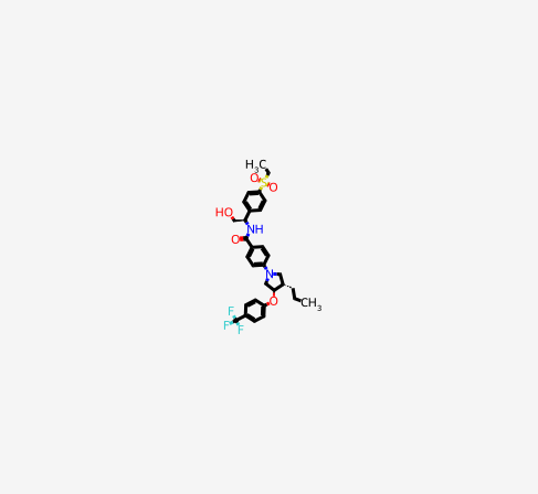 CCC[C@H]1CN(c2ccc(C(=O)N[C@@H](CO)c3ccc(S(=O)(=O)CC)cc3)cc2)C[C@@H]1Oc1ccc(C(F)(F)F)cc1